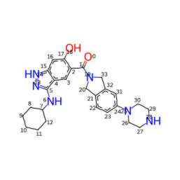 O=C(c1cc2c(NC3CCCCC3)n[nH]c2cc1O)N1Cc2ccc(N3CCNCC3)cc2C1